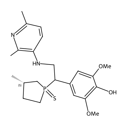 COc1cc(C(CNc2ccc(C)nc2C)P2(=S)CC[C@H](C)C2)cc(OC)c1O